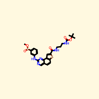 COS(=O)c1cccc(Nc2ncc3ccc4sc(C(=O)NCCCNC(=O)OC(C)(C)C)cc4c3n2)c1